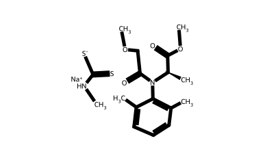 CNC(=S)[S-].COCC(=O)N(c1c(C)cccc1C)[C@H](C)C(=O)OC.[Na+]